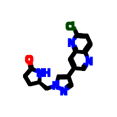 O=C1CC[C@H](Cn2cc(-c3cnc4ccc(Cl)nc4c3)cn2)N1